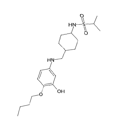 CCCCOc1ccc(NCC2CCC(NS(=O)(=O)C(C)C)CC2)cc1O